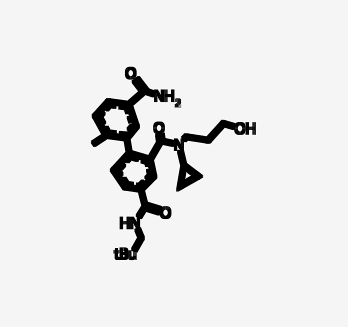 Cc1ccc(C(N)=O)cc1-c1ccc(C(=O)NCC(C)(C)C)cc1C(=O)N(CCCO)C1CC1